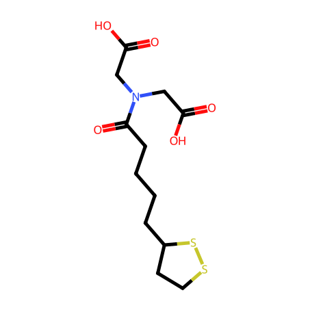 O=C(O)CN(CC(=O)O)C(=O)CCCCC1CCSS1